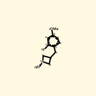 CCCN1CC(Cc2ccc(OC)cc2F)C1